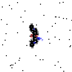 CC1(C)C2=C3C=C4C(=O)/C(=C/C5=C6N(CC[C@H]5CN)c5ccccc5C6(C)C)CO[C@H]4C[C@H]3CCN2c2ccccc21